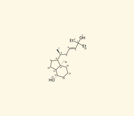 CCC(O)(/C=C/C[C@H](C)C1CCC2[C@@H](O)CCC[C@]12C)CC